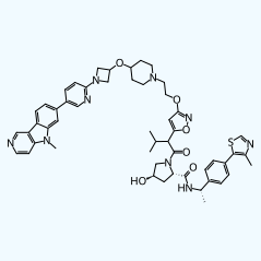 Cc1ncsc1-c1ccc([C@H](C)NC(=O)[C@@H]2C[C@@H](O)CN2C(=O)C(c2cc(OCCN3CCC(OC4CN(c5ccc(-c6ccc7c8cnccc8n(C)c7c6)cn5)C4)CC3)no2)C(C)C)cc1